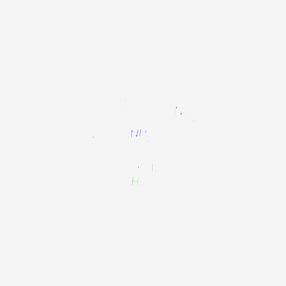 C.Cl.NC1c2ccc([N+](=O)[O-])c1c2